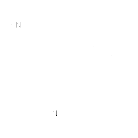 N#CCCC1(CCC#N)CC=CC1